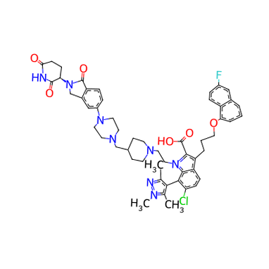 Cc1nn(C)c(C)c1-c1c(Cl)ccc2c(CCCOc3cccc4cc(F)ccc34)c(C(=O)O)n(CCN3CCC(CN4CCN(c5ccc6c(c5)CN([C@@H]5CCC(=O)NC5=O)C6=O)CC4)CC3)c12